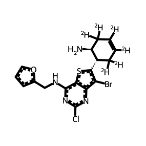 [2H]C1=C([2H])C([2H])([2H])[C@H](c2sc3c(NCc4ccco4)nc(Cl)nc3c2Br)[C@@H](N)C1([2H])[2H]